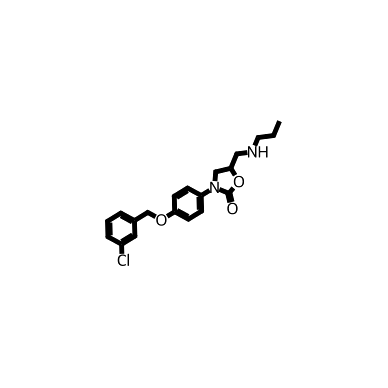 CCCNCC1CN(c2ccc(OCc3cccc(Cl)c3)cc2)C(=O)O1